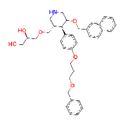 OC[C@@H](O)COC[C@@H]1CNCC(OCc2ccc3ccccc3c2)[C@H]1c1ccc(OCCCOCc2ccccc2)cc1